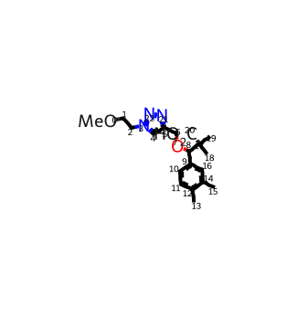 COCCn1cc(COC(c2ccc(C)c(C)c2)C(C)(C)C(=O)O)nn1